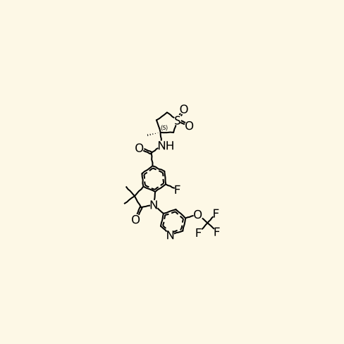 CC1(C)C(=O)N(c2cncc(OC(F)(F)F)c2)c2c(F)cc(C(=O)N[C@@]3(C)CCS(=O)(=O)C3)cc21